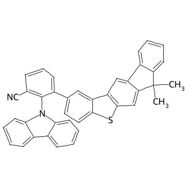 CC1(C)c2ccccc2-c2cc3c(cc21)sc1ccc(-c2cccc(C#N)c2-n2c4ccccc4c4ccccc42)cc13